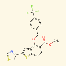 COC(=O)c1ccc2sc(-c3cscn3)cc2c1OCc1ccc(C(F)(F)F)cc1